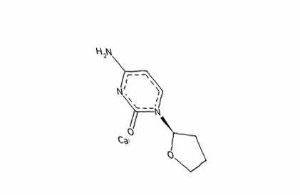 Nc1ccn([C@H]2CCCO2)c(=O)n1.[Ca]